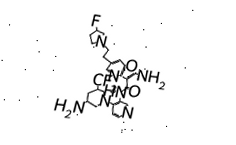 Nc1oc2cc(CCN3CCC(F)C3)cnc2c1C(=O)Nc1cnccc1N1CC(N)CC(C(F)(F)F)C1